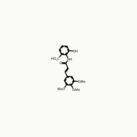 COc1cc(C=CC(=O)Nc2c(O)cccc2C(=O)O)cc(OC)c1OC